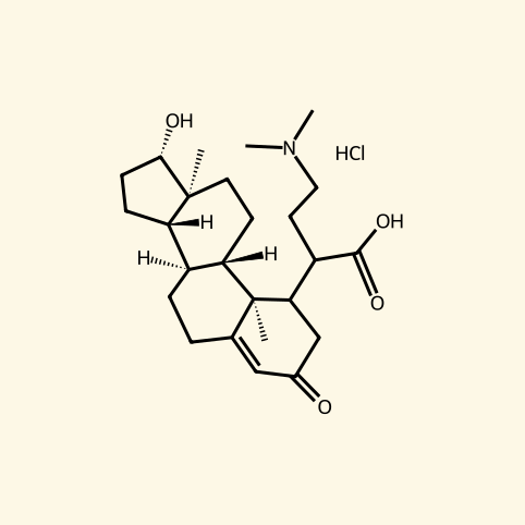 CN(C)CCC(C(=O)O)C1CC(=O)C=C2CC[C@H]3[C@@H]4CC[C@H](O)[C@@]4(C)CC[C@@H]3[C@]21C.Cl